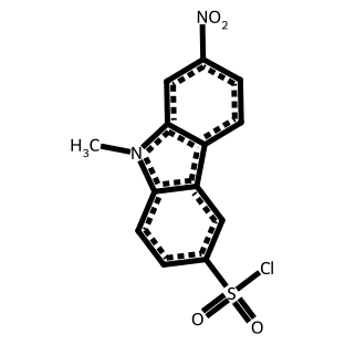 Cn1c2ccc(S(=O)(=O)Cl)cc2c2ccc([N+](=O)[O-])cc21